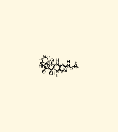 Cc1c2c(c(=O)n3c1C(=O)NC31CCCCC1)Nc1cc(NCC3CC3)ncc1C2